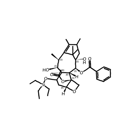 CC[Si](CC)(CC)OC1C[C@H]2OC[C@@]2(OC(C)=O)[C@H]2[C@H](OC(=O)c3ccccc3)[C@]3(O)CC(C)C(C)=C([C@H](C)[C@H](O)[C@]12C)C3(C)C